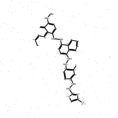 C=c1c(NC(C)CC)ccc(NNc2ccc(NNc3ccc(NNc4nc(C(F)(F)F)cs4)cc3C)c3ccccc23)/c1=C/C=C\C